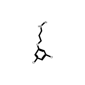 CC(C)NCCCOc1cc(Cl)cc(Cl)c1